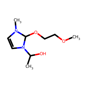 COCCOC1N(C)C=CN1C(C)O